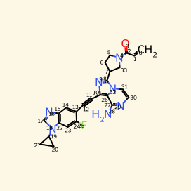 C=CC(=O)N1CCC(c2nc(C#Cc3cc4ncn(C5CC5)c4cc3F)c3c(N)nccn23)C1